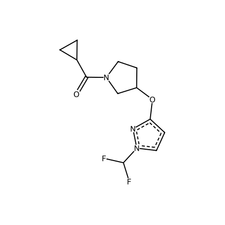 O=C(C1CC1)N1CCC(Oc2ccn(C(F)F)n2)C1